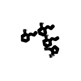 C=CCc1ccccc1[O-].C=CCc1ccccc1[O-].C=CCc1ccccc1[O-].CC(C)(C)C1=[C]([Ti+3])CC=C1